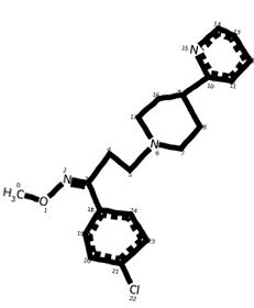 CO/N=C(/CCN1CCC(c2ccccn2)CC1)c1ccc(Cl)cc1